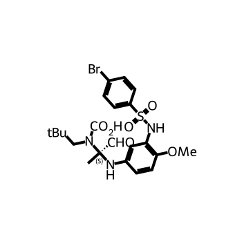 COc1ccc(N[C@](C)(C=O)N(CC(C)(C)C)C(=O)O)cc1NS(=O)(=O)c1ccc(Br)cc1